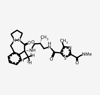 [2H]C([2H])([2H])[C@]1(NC(=O)[C@H](C)CNC(=O)c2sc(C(=O)NC)nc2C)C(=O)N2CCCN2Cc2ccccc21